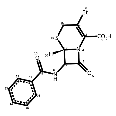 CCC1=C(C(=O)O)N2C(=O)C(NC(=O)c3ccccc3)[C@@H]2SC1